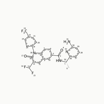 C[C@H](NC(=O)c1ccc2c(c1)cc(C(F)F)c(=O)n2-c1ccc(C(F)(F)F)cc1)c1cccc(N)n1